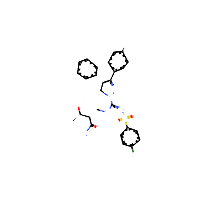 C[C@@H](O)[C@H](CN/C(=N\S(=O)(=O)c1ccc(Cl)cc1)N1C[C@H](c2ccccc2)C(c2ccc(Cl)cc2)=N1)C(N)=O